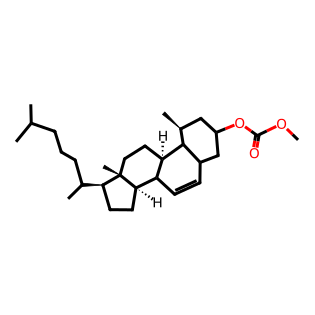 COC(=O)OC1CC2C=CC3[C@@H](CC[C@]4(C)[C@@H]3CC[C@H]4C(C)CCCC(C)C)C2[C@@H](C)C1